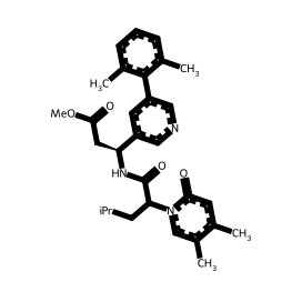 COC(=O)C[C@H](NC(=O)C(CC(C)C)n1cc(C)c(C)cc1=O)c1cncc(-c2c(C)cccc2C)c1